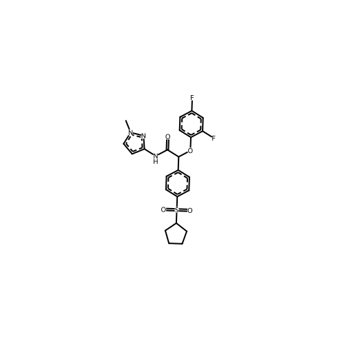 Cn1ccc(NC(=O)C(Oc2ccc(F)cc2F)c2ccc(S(=O)(=O)C3CCCC3)cc2)n1